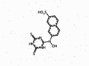 O=S(=O)(O)c1ccc2ccc(N(O)c3nc(=S)[nH]c(=S)[nH]3)cc2c1